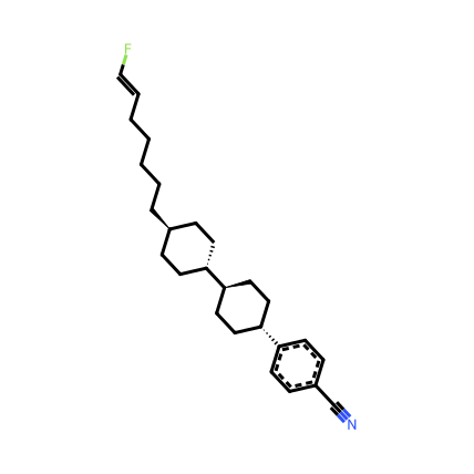 N#Cc1ccc([C@H]2CC[C@H]([C@H]3CC[C@H](CCCCCC=CF)CC3)CC2)cc1